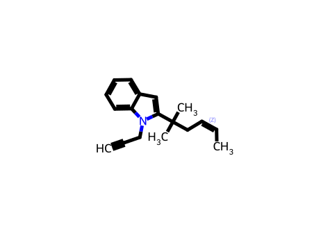 C#CCn1c(C(C)(C)C/C=C\C)cc2ccccc21